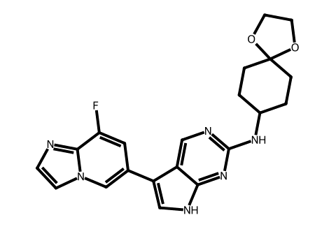 Fc1cc(-c2c[nH]c3nc(NC4CCC5(CC4)OCCO5)ncc23)cn2ccnc12